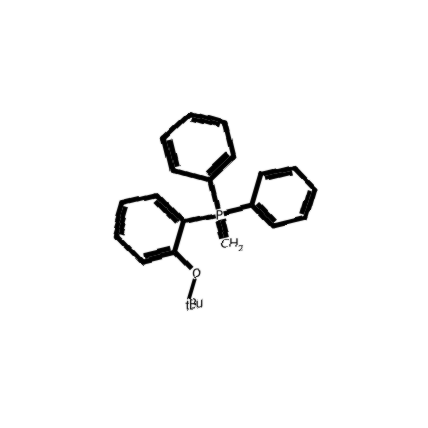 C=P(c1ccccc1)(c1ccccc1)c1ccccc1OC(C)(C)C